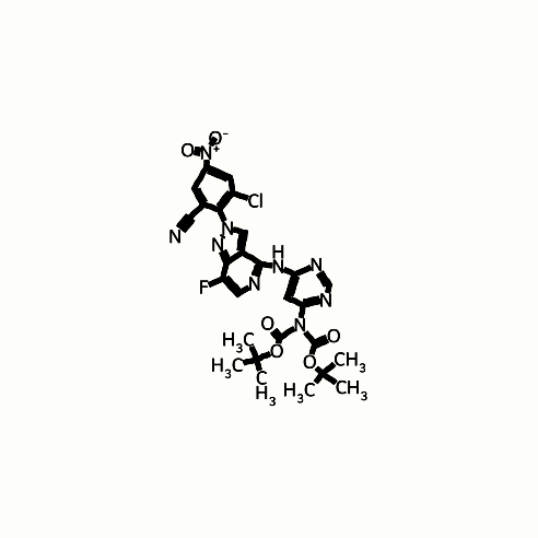 CC(C)(C)OC(=O)N(C(=O)OC(C)(C)C)c1cc(Nc2ncc(F)c3nn(-c4c(Cl)cc([N+](=O)[O-])cc4C#N)cc23)ncn1